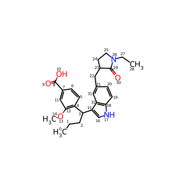 CCCC(c1ccc(C(=O)O)cc1OC)c1c[nH]c2ccc(CC3CCN(CC)C3=O)cc12